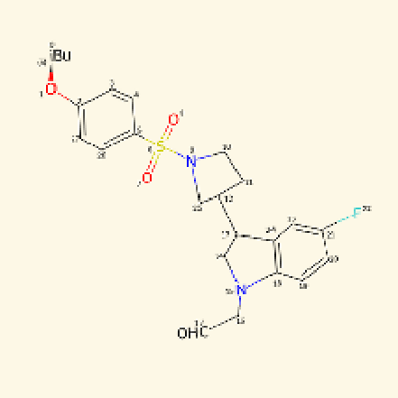 CC[C@H](C)Oc1ccc(S(=O)(=O)N2CCC(C3CN(CC=O)c4ccc(F)cc43)C2)cc1